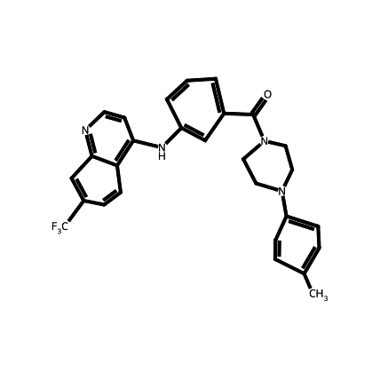 Cc1ccc(N2CCN(C(=O)c3cccc(Nc4ccnc5cc(C(F)(F)F)ccc45)c3)CC2)cc1